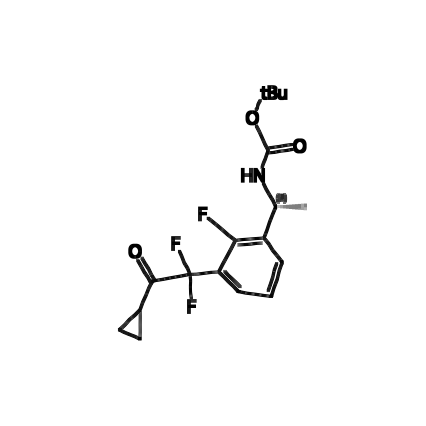 C[C@@H](NC(=O)OC(C)(C)C)c1cccc(C(F)(F)C(=O)C2CC2)c1F